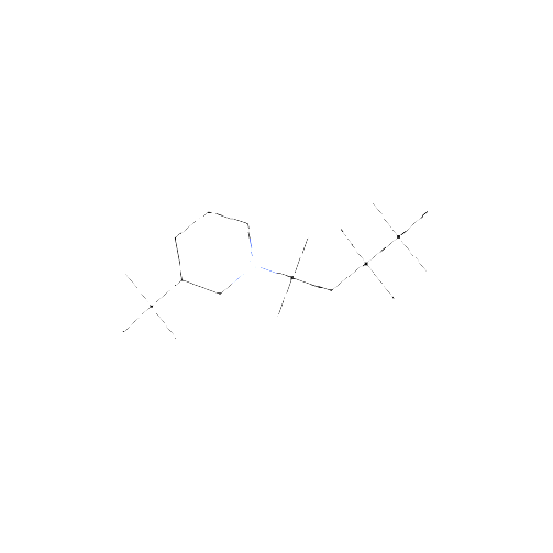 CC(C)(C)C1CCCN(C(C)(C)CC(C)(C)C(C)(C)C)C1